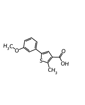 COc1cccc(-c2cc(C(=O)O)c(C)s2)c1